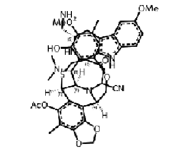 COc1ccc2[nH]c3c(c2c1)C[C@@H](CN)N[C@]31CS[C@@H]2c3c(OC(C)=O)c(C)c4c(c3[C@H](COC1=O)N1C(C#N)Cc3cc(C)c(OC)c(O)c3[C@@H](N(C)C)[C@H]21)OCO4